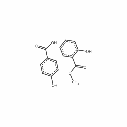 COC(=O)c1ccccc1O.O=C(O)c1ccc(O)cc1